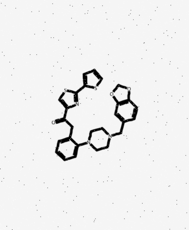 O=C(Cc1ccccc1N1CCN(Cc2ccc3c(c2)OCO3)CC1)c1csc(-c2cccs2)n1